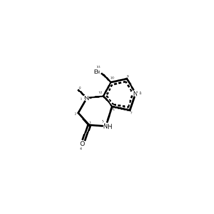 CN1CC(=O)Nc2cncc(Br)c21